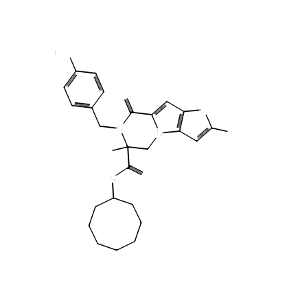 Cc1ccc(CN2C(=O)c3cc4oc(C)cc4n3CC2(C)C(=O)NC2CCCCCCC2)cc1